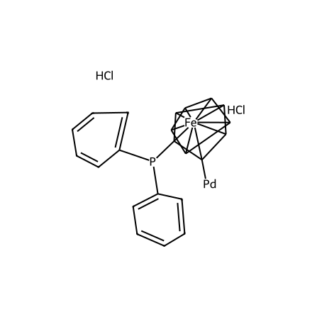 Cl.Cl.[Pd][C]12[CH]3[CH]4[CH]5[C]1(P(c1ccccc1)c1ccccc1)[Fe]43521678[CH]2[CH]1[CH]6[CH]7[CH]28